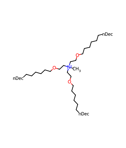 CCCCCCCCCCCCCCCCOCC[N+](C)(CCOCCCCCCCCCCCCCCCC)CCOCCCCCCCCCCCCCCCC